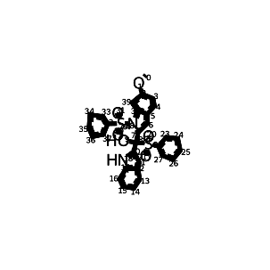 COc1ccc2cc(C(O)(c3cc4ccccc4[nH]3)S(=O)(=O)c3ccccc3)n(S(=O)(=O)c3ccccc3)c2c1